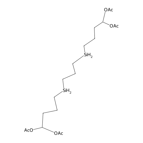 CC(=O)OC(CCC[SiH2]CCC[SiH2]CCCC(OC(C)=O)OC(C)=O)OC(C)=O